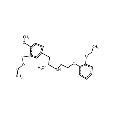 CCOc1ccccc1OCCN[C@H](C)Cc1ccc(OC)c(SOON)c1